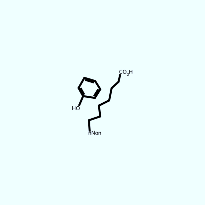 CCCCCCCCCCCCCCCC(=O)O.Oc1ccccc1